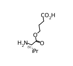 CC(C)[C@H](N)C(=O)OCCCC(=O)O